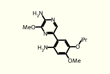 COc1cc(N)c(-c2cnc(N)c(OC)n2)cc1OC(C)C